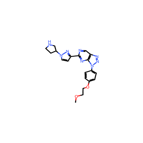 COCCOc1ccc(-n2nnc3cnc(-c4[c]cn(C5CCNC5)n4)nc32)cc1